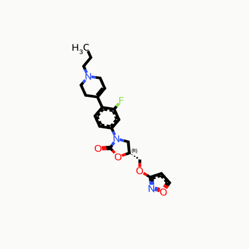 CCCN1CC=C(c2ccc(N3C[C@H](COc4ccon4)OC3=O)cc2F)CC1